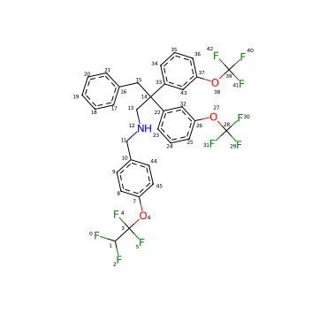 FC(F)C(F)(F)Oc1ccc(CNCC(Cc2ccccc2)(c2cccc(OC(F)(F)F)c2)c2cccc(OC(F)(F)F)c2)cc1